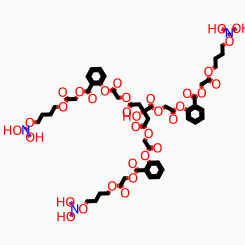 O=C(COC(=O)c1ccccc1OC(=O)COC(=O)CC(O)(CC(=O)OCC(=O)Oc1ccccc1C(=O)OCC(=O)OCCCCON(O)O)C(=O)OCC(=O)Oc1ccccc1C(=O)OCC(=O)OCCCCON(O)O)OCCCCON(O)O